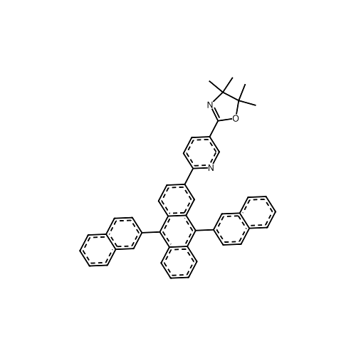 CC1(C)N=C(c2ccc(-c3ccc4c(-c5ccc6ccccc6c5)c5ccccc5c(-c5ccc6ccccc6c5)c4c3)nc2)OC1(C)C